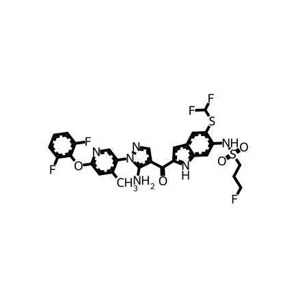 Cc1cc(Oc2c(F)cccc2F)ncc1-n1ncc(C(=O)c2cc3cc(SC(F)F)c(NS(=O)(=O)CCCF)cc3[nH]2)c1N